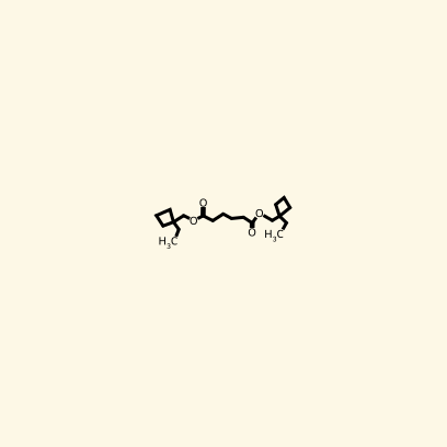 CCC1(COC(=O)CCCCC(=O)OCC2(CC)CCC2)CCC1